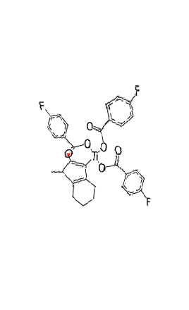 CC1=[C]([Ti]([O]C(=O)c2ccc(F)cc2)([O]C(=O)c2ccc(F)cc2)[O]C(=O)c2ccc(F)cc2)C2=C(CCCC2)C1C